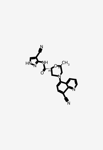 C[C@@H]1CN(c2ccc(C#N)c3ncccc23)C[C@H](C(=O)Nc2n[nH]cc2C#N)O1